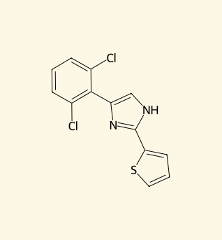 Clc1cccc(Cl)c1-c1c[nH]c(-c2cccs2)n1